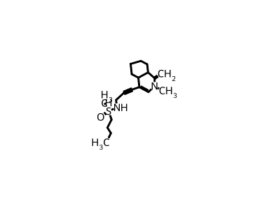 C=C1C2CCCCC2C(C#CCN[SH](C)(=O)CCCC)=CN1C